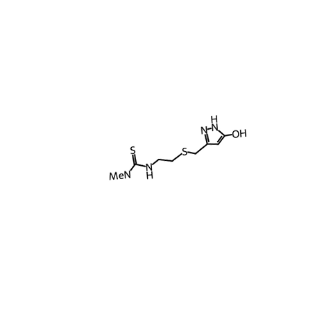 CNC(=S)NCCSCc1cc(O)[nH]n1